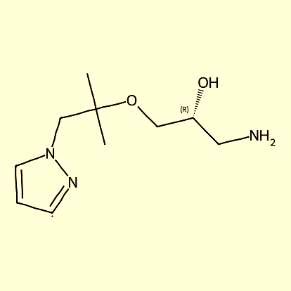 CC(C)(Cn1cc[c]n1)OC[C@H](O)CN